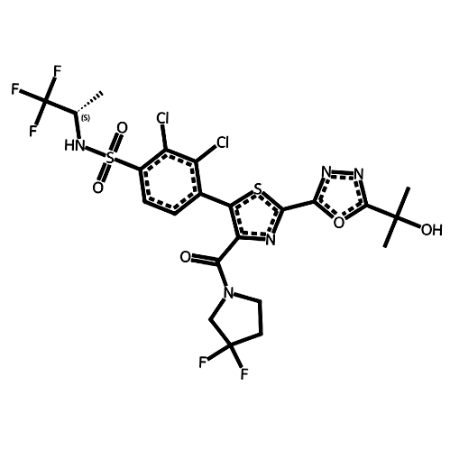 C[C@H](NS(=O)(=O)c1ccc(-c2sc(-c3nnc(C(C)(C)O)o3)nc2C(=O)N2CCC(F)(F)C2)c(Cl)c1Cl)C(F)(F)F